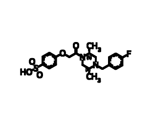 C[C@@H]1CN(C(=O)COc2ccc(S(=O)(=O)O)cc2)[C@@H](C)CN1Cc1ccc(F)cc1